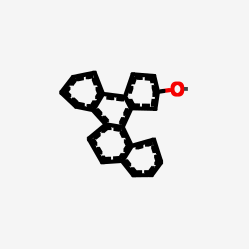 [O]c1ccc2c3ccccc3c3ccc4ccccc4c3c2c1